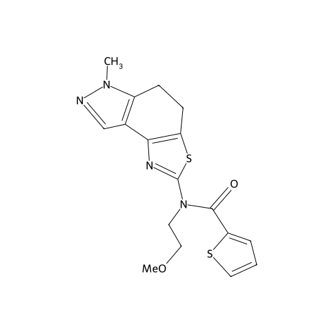 COCCN(C(=O)c1cccs1)c1nc2c(s1)CCc1c-2cnn1C